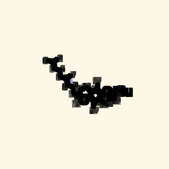 CC(C)=CCC/C(C)=C/CC[C@@]1(C)CCc2c(C)c(O[Si](C)(C)C(C)(C)C)c(C)c(C)c2O1